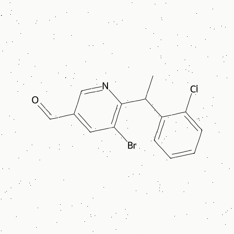 CC(c1ccccc1Cl)c1ncc(C=O)cc1Br